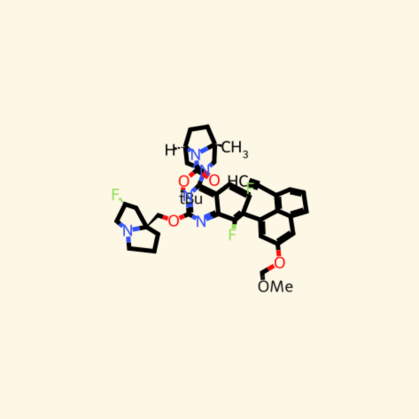 C#Cc1cccc2cc(OCOC)cc(-c3c(F)cc4c(N5C[C@H]6CC[C@@](C)(C5)N6C(=O)OC(C)(C)C)nc(OC[C@@]56CCCN5C[C@H](F)C6)nc4c3F)c12